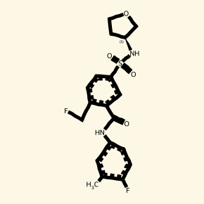 Cc1cc(NC(=O)c2cc(S(=O)(=O)N[C@H]3CCOC3)ccc2CF)ccc1F